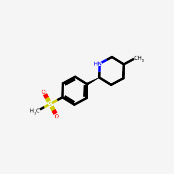 CC1CC[C@@H](c2ccc(S(C)(=O)=O)cc2)NC1